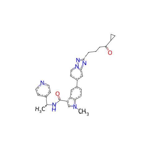 C[C@H](NC(=O)c1cn(C)c2ccc(-c3ccn4nc(CCCC(=O)C5CC5)nc4c3)cc12)c1ccncc1